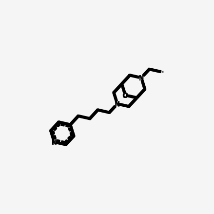 [CH2]CN1CC2CN(CCCCc3ccncc3)CC(C1)O2